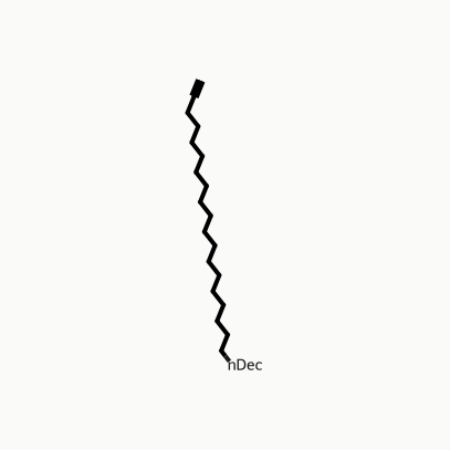 C#CCCCCCCCCCCCCCCCCCCCCCCCCCCC